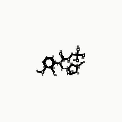 COc1cccc(N(C[C@@H]2C[C@@H](F)CN2)C(=O)OCC(Cl)(Cl)Cl)c1F